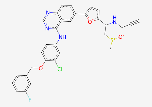 C#CCNC(C[S+](C)[O-])c1ccc(-c2ccc3ncnc(Nc4ccc(OCc5cccc(F)c5)c(Cl)c4)c3c2)o1